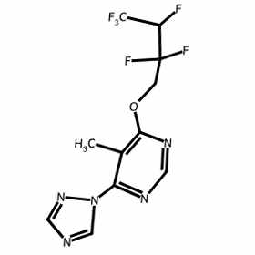 Cc1c(OCC(F)(F)C(F)C(F)(F)F)ncnc1-n1cncn1